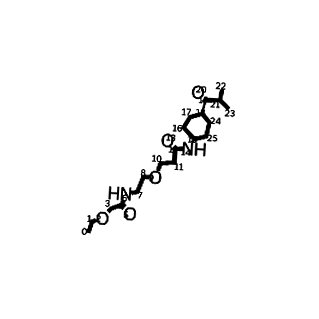 CCOCC(=O)NCCOCCC(=O)N[C@H]1CC[C@@H](C(=O)C(C)C)CC1